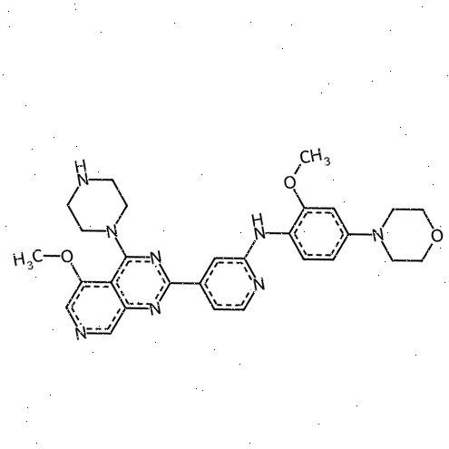 COc1cc(N2CCOCC2)ccc1Nc1cc(-c2nc(N3CCNCC3)c3c(OC)cncc3n2)ccn1